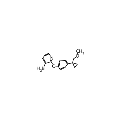 Bc1cccnc1Oc1ccc(C2(COC)CC2)cc1